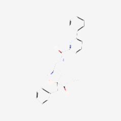 COC(=O)C1(Cc2ccccc2)CC(CNC(=O)c2cccc(-c3ccccc3)n2)=NO1